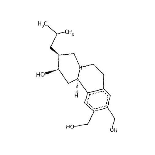 CC(C)C[C@H]1CN2CCc3cc(CO)c(CO)cc3[C@H]2C[C@H]1O